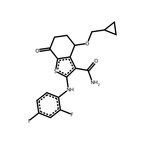 NC(=O)c1c(Nc2ccc(I)cc2F)sc2c1C(OCC1CC1)CCC2=O